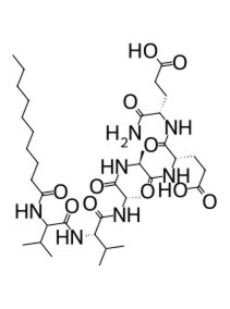 CCCCCCCCCC(=O)NC(C(=O)N[C@H](C(=O)N[C@@H](C)C(=O)N[C@@H](C)C(=O)N[C@@H](CCC(=O)O)C(=O)N[C@@H](CCC(=O)O)C(N)=O)C(C)C)C(C)C